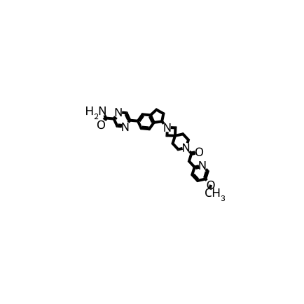 COc1ccc(CC(=O)N2CCC3(CC2)CN(C2CCc4cc(-c5cnc(C(N)=O)cn5)ccc42)C3)nc1